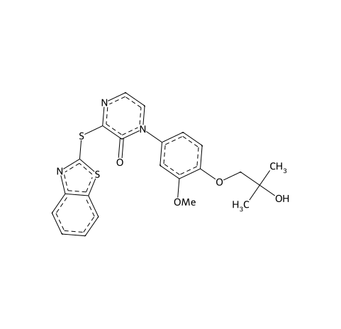 COc1cc(-n2ccnc(Sc3nc4ccccc4s3)c2=O)ccc1OCC(C)(C)O